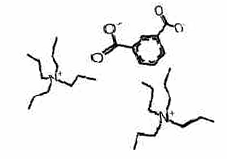 CCC[N+](CCC)(CCC)CCC.CCC[N+](CCC)(CCC)CCC.O=C([O-])c1cccc(C(=O)[O-])c1